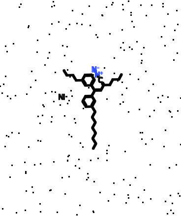 CCCCCCCCc1cccc(C(=CC(=C=[N+]=[N-])CCCC)c2cccc(CCCC)c2)c1.[Ni]